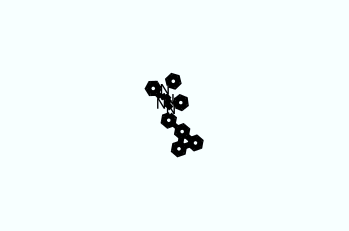 c1ccc(-n2c3ccccc3c3nc4n(-c5cccc(-c6ccc7c8ccccc8c8ccccc8c7c6)c5)c5ccccc5n4c32)cc1